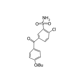 CC(C)COc1ccc(C(=O)c2ccc(Cl)c(S(N)(=O)=O)c2)cc1